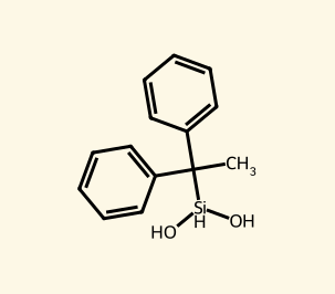 CC(c1ccccc1)(c1ccccc1)[SiH](O)O